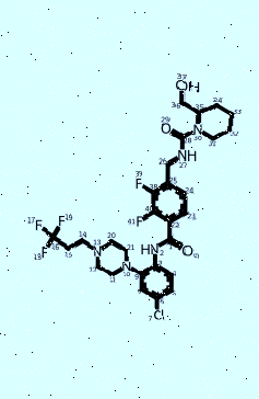 O=C(Nc1ccc(Cl)cc1N1CCN(CCC(F)(F)F)CC1)c1ccc(CNC(=O)N2CCCCC2CO)c(F)c1F